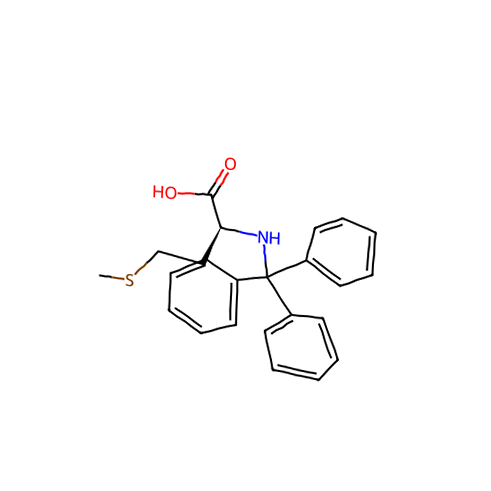 CSCC[C@H](NC(c1ccccc1)(c1ccccc1)c1ccccc1)C(=O)O